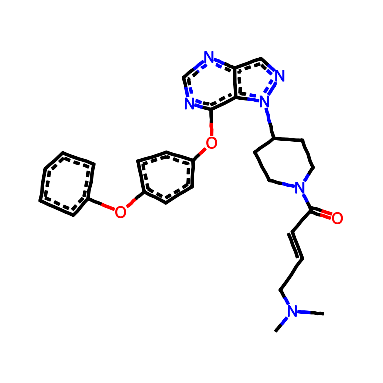 CN(C)CC=CC(=O)N1CCC(n2ncc3ncnc(Oc4ccc(Oc5ccccc5)cc4)c32)CC1